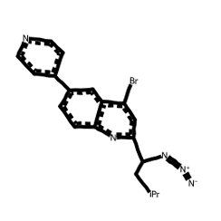 CC(C)CC(N=[N+]=[N-])c1cc(Br)c2cc(-c3ccncc3)ccc2n1